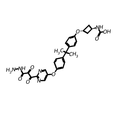 CC(C)(c1ccc(Oc2cnc(C(=O)C(=O)C(=O)NN)nc2)cc1)c1ccc(O[C@H]2C[C@H](NC(=O)O)C2)cc1